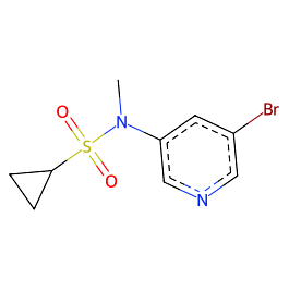 CN(c1cncc(Br)c1)S(=O)(=O)C1CC1